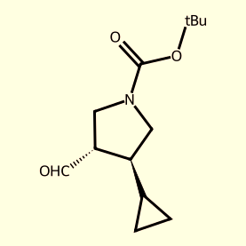 CC(C)(C)OC(=O)N1C[C@@H](C=O)[C@H](C2CC2)C1